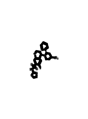 O=S(=O)(Nc1nccs1)c1cc2c(cc1F)[C@H](N1CCC(C(F)(F)F)C[C@H]1c1ccccn1)CCO2